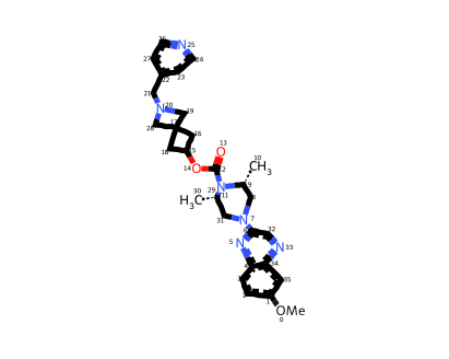 COc1ccc2nc(N3C[C@@H](C)N(C(=O)OC4CC5(C4)CN(Cc4ccncc4)C5)[C@@H](C)C3)cnc2c1